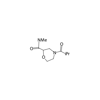 CNC(=O)C1CN(C(=O)C(C)C)CCO1